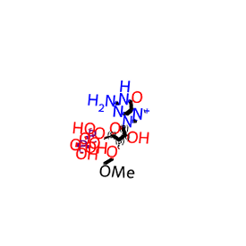 COCCOC[C@H]1[C@@H](O)[C@H](n2c[n+](C)c3c(=O)[nH]c(N)nc32)O[C@@H]1COP(=O)(O)OP(=O)(O)O